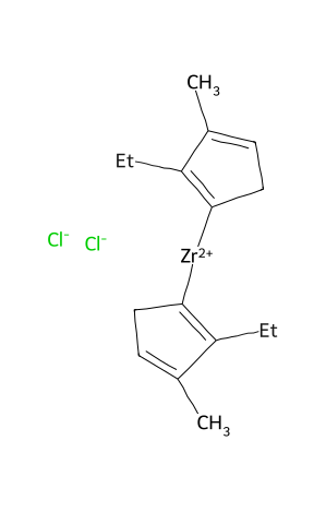 CCC1=[C]([Zr+2][C]2=C(CC)C(C)=CC2)CC=C1C.[Cl-].[Cl-]